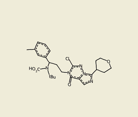 Cc1cccc(C(CCn2c(Cl)nn3c(C4CCOCC4)ncc3c2=O)N(C(=O)O)C(C)(C)C)c1